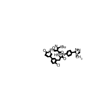 CC(C)n1cc(-c2ccc(Cl)c(CC(NC(=O)c3conc3C(C)(C)C)C(=O)Nc3ccc(-c4nncn4C)cc3)c2)ccc1=O